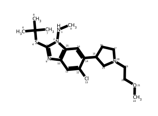 CNn1c(SC(C)(C)C)nc2cc(Cl)c(C3CCN(CCOC)C3)cc21